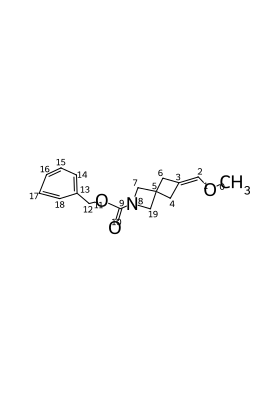 COC=C1CC2(C1)CN(C(=O)OCc1ccccc1)C2